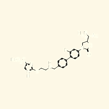 CCOC(=O)c1c[nH]c(SCCNCc2ccc(-c3ccc(N4CC([C@H](N)C(C)=O)OC4=O)cc3F)cc2)n1